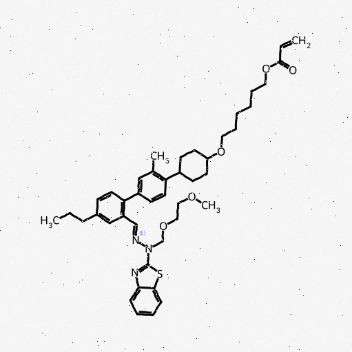 C=CC(=O)OCCCCCCOC1CCC(c2ccc(-c3ccc(CCC)cc3/C=N/N(COCCOC)c3nc4ccccc4s3)cc2C)CC1